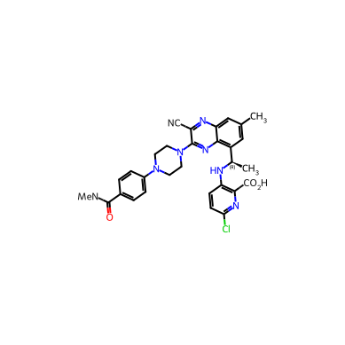 CNC(=O)c1ccc(N2CCN(c3nc4c([C@@H](C)Nc5ccc(Cl)nc5C(=O)O)cc(C)cc4nc3C#N)CC2)cc1